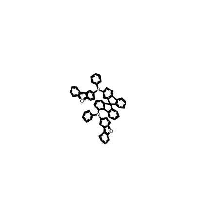 c1ccc(N(c2ccc3c(c2)C2(c4ccccc4-3)c3ccccc3-c3c(N(c4ccccc4)c4ccc5oc6ccccc6c5c4)cccc32)c2ccc3oc4ccccc4c3c2)cc1